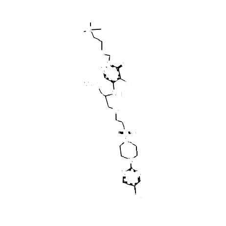 COCC(COCCS(=O)(=O)N1CCN(c2ncc(C(F)(F)F)cn2)CC1)Nc1cnn(COCC[Si](C)(C)C)c(=O)c1C(F)(F)F